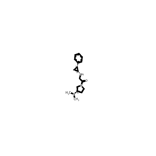 CN(C)[C@@H]1CCN(C(=O)CN[C@@H]2C[C@H]2c2ccccc2)C1